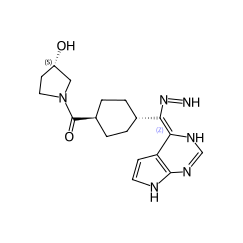 N=N/C(=C1\NC=Nc2[nH]ccc21)[C@H]1CC[C@H](C(=O)N2CC[C@H](O)C2)CC1